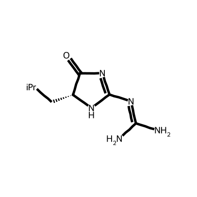 CC(C)C[C@H]1NC(N=C(N)N)=NC1=O